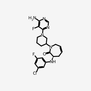 Nc1ncnc(N2CCCC(N3CC=CC[C@@H](Nc4cc(F)cc(Cl)c4)C3=O)C2)c1F